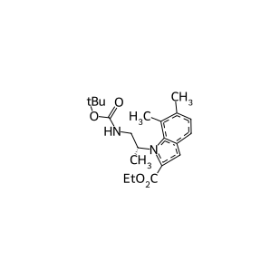 CCOC(=O)c1cc2ccc(C)c(C)c2n1[C@H](C)CNC(=O)OC(C)(C)C